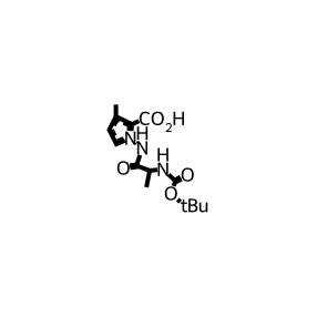 Cc1ccn(NC(=O)C(C)NC(=O)OC(C)(C)C)c1C(=O)O